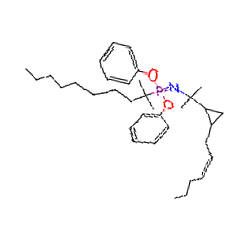 CCC/C=C\CC1CC1C(C)(C)N=P(Oc1ccccc1)(Oc1ccccc1)C(C)(C)CCCCCCCC